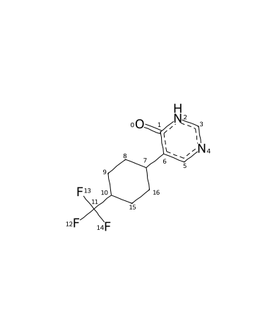 O=c1[nH]cncc1C1CCC(C(F)(F)F)CC1